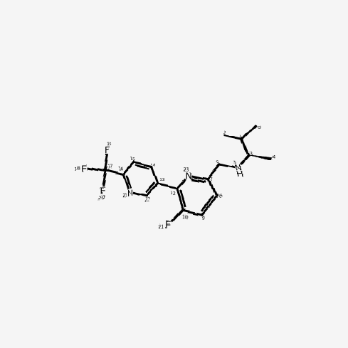 CC(C)[C@@H](C)NCc1ccc(F)c(-c2ccc(C(F)(F)F)nc2)n1